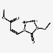 CCN1NNN(/C=C\C(=O)OC)C1=O